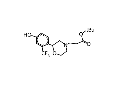 CC(C)(C)OC(=O)CCN1CCOC(c2ccc(O)cc2C(F)(F)F)C1